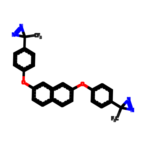 FC(F)(F)C1(c2ccc(Oc3ccc4ccc(Oc5ccc(C6(C(F)(F)F)N=N6)cc5)cc4c3)cc2)N=N1